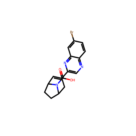 O=C(O)N1C2C=C(c3cnc4ccc(Br)cc4n3)CC1CC2